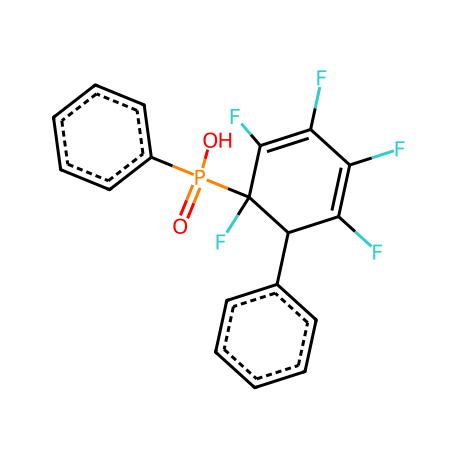 O=P(O)(c1ccccc1)C1(F)C(F)=C(F)C(F)=C(F)C1c1ccccc1